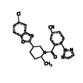 CC1CCC(c2nc3cc(Cl)ccc3o2)CN1C(=O)c1cc(C#N)ccc1-n1nccn1